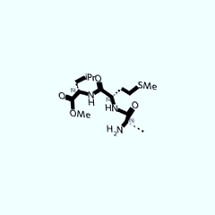 COC(=O)[C@H](CC(C)C)NC(=O)[C@H](CCSC)NC(=O)[C@H](C)N